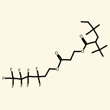 CCC(C)(C)CC(C(=O)OCCC(=O)OCCC(F)(F)C(F)(F)C(F)(F)C(F)(F)F)C(C)(C)C